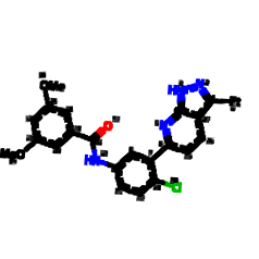 CCc1n[nH]c2nc(-c3cc(NC(=O)c4cc(OC)cc(OC)c4)ccc3Cl)ccc12